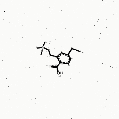 C[Si](C)(C)CCc1cc(CI)ccc1C(=O)O